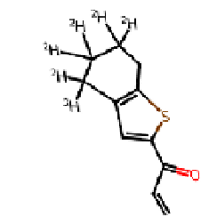 [2H]C1([2H])Cc2sc(C(=O)C=C)cc2C([2H])([2H])C1([2H])[2H]